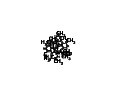 Cc1ccc(C)c2c1C=C(P(CC(C)C)CC(C)C)[CH]2[Hf+2][CH]1C(P(CC(C)C)CC(C)C)=Cc2c(C)ccc(C)c21.[Cl-].[Cl-]